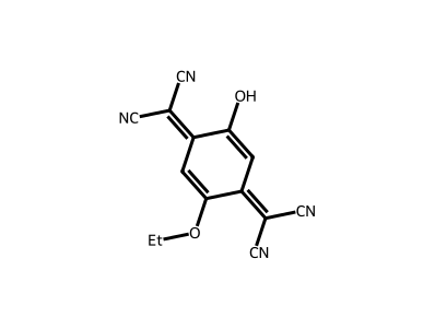 CCOc1cc(=C(C#N)C#N)c(O)cc1=C(C#N)C#N